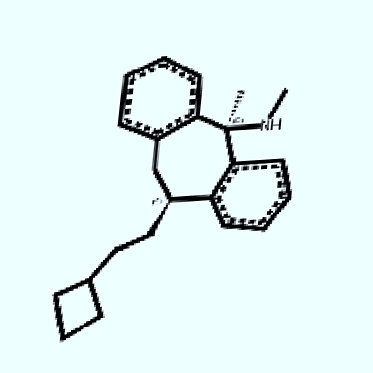 CN[C@]1(C)c2ccccc2C[C@H](CCC2CCC2)c2ccccc21